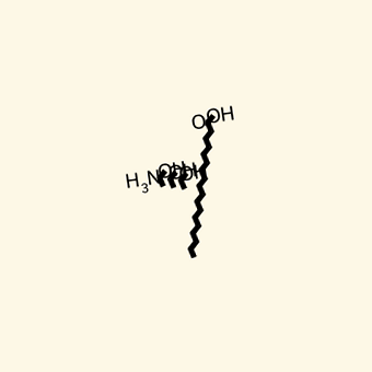 CCCCCCCCCCCCCCCCCC(=O)O.CCO.CCO.CCO.N